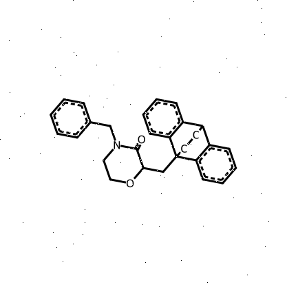 O=C1C(CC23CCC(c4ccccc42)c2ccccc23)OCCN1Cc1ccccc1